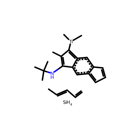 C=CC=CC.CC1=C(NC(C)(C)C)c2cc3c(cc2=[C]1[Ti]([CH3])[CH3])C=CC=3.[SiH4]